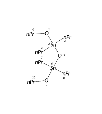 CCC[O][Sn]([CH2]CC)([CH2]CC)[O][Sn]([CH2]CC)([CH2]CC)[O]CCC